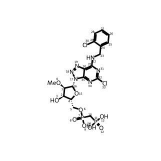 CO[C@@H]1[C@H](O)[C@@H](COP(=O)(O)CP(=O)(O)O)O[C@H]1n1nnc2c(NCc3ccccc3Cl)nc(Cl)nc21